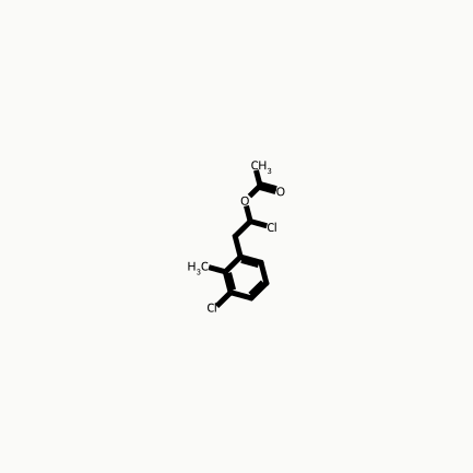 CC(=O)OC(Cl)Cc1cccc(Cl)c1C